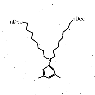 CCCCCCCCCCCCCCCCCCN(CCCCCCCCCCCCCCCCCC)c1cc(C)cc(C)c1